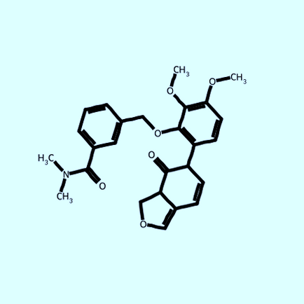 COc1ccc(C2C=CC3=COCC3C2=O)c(OCc2cccc(C(=O)N(C)C)c2)c1OC